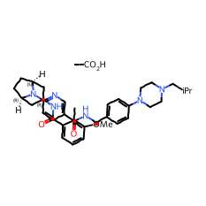 CC(=O)O.COc1cccc(C(=O)N[C@H]2C[C@H]3CC[C@@H](C2)N3c2ccc(C(=O)NCc3ccc(N4CCN(CC(C)C)CC4)cc3)cn2)c1C